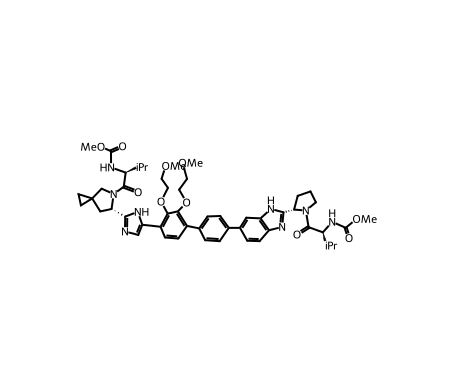 COCCOc1c(-c2ccc(-c3ccc4nc([C@@H]5CCCN5C(=O)[C@@H](NC(=O)OC)C(C)C)[nH]c4c3)cc2)ccc(-c2cnc([C@@H]3CC4(CC4)CN3C(=O)[C@@H](NC(=O)OC)C(C)C)[nH]2)c1OCCOC